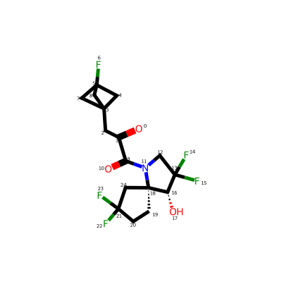 O=C(CC12CC(F)(C1)C2)C(=O)N1CC(F)(F)[C@H](O)[C@]12CCC(F)(F)C2